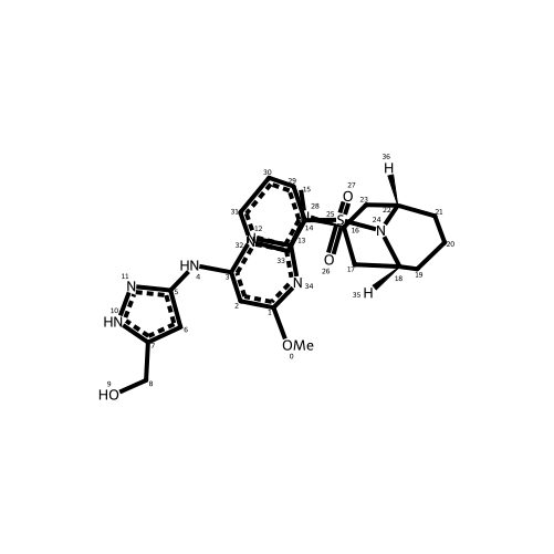 COc1cc(Nc2cc(CO)[nH]n2)nc(N(C)[C@@H]2C[C@H]3CCC[C@@H](C2)N3S(=O)(=O)c2cccnc2)n1